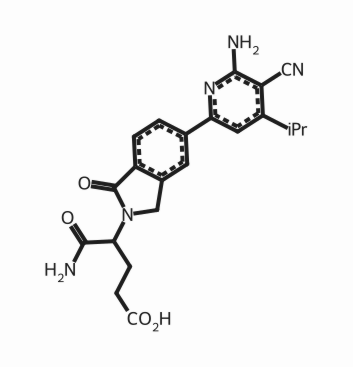 CC(C)c1cc(-c2ccc3c(c2)CN(C(CCC(=O)O)C(N)=O)C3=O)nc(N)c1C#N